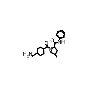 CC1CC(C(=O)Nc2ccccc2)N(C(=O)C2CCC(CN)CC2)C1